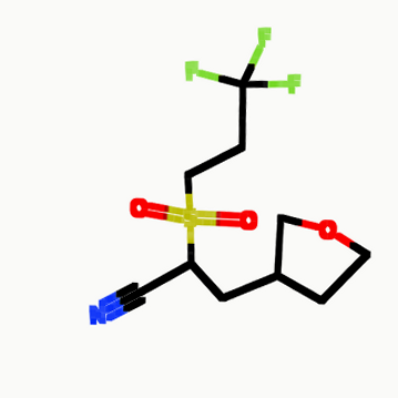 N#CC(CC1CCOC1)S(=O)(=O)CCC(F)(F)F